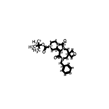 CC(C)(C)OC(=O)N1CCn2c(c3n(c2=O)CC2(COC2)CN(Cc2ccccc2)C3=O)C1